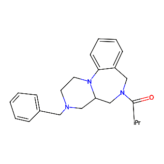 CC(C)C(=O)N1Cc2ccccc2N2CCN(Cc3ccccc3)CC2C1